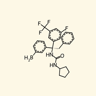 Bc1cccc([C@](Cc2ccccc2)(NC(=O)NC2CCCC2)c2cc(F)cc(C(F)(F)F)c2)c1